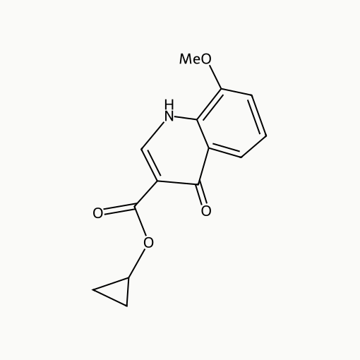 COc1cccc2c(=O)c(C(=O)OC3CC3)c[nH]c12